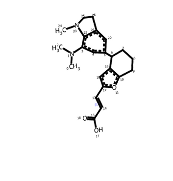 CN(C)c1cc(C2CCCc3oc(/C=C/C(=O)O)cc32)cc2c1N(C)CC2